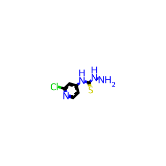 NNC(=S)Nc1ccnc(Cl)c1